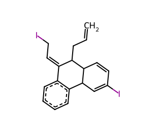 C=CCC1/C(=C\CI)c2ccccc2C2C=C(I)C=CC12